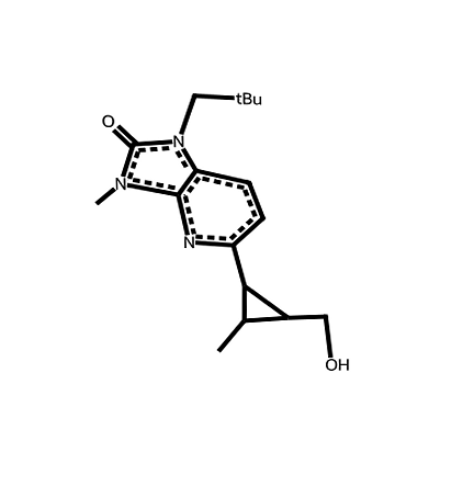 CC1C(CO)C1c1ccc2c(n1)n(C)c(=O)n2CC(C)(C)C